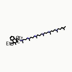 CCOc1c(C)c(C/C=C(\C)CC/C=C(\C)CC/C=C(\C)CC/C=C(\C)CC/C=C(\C)CC/C=C(\C)CCC=C(C)C)c(OCC)c2ccccc12